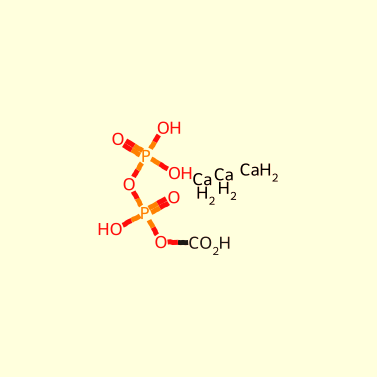 O=C(O)OP(=O)(O)OP(=O)(O)O.[CaH2].[CaH2].[CaH2]